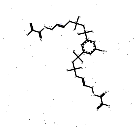 C=C(C)C(=O)OC/C=C/CC(C)(C)CC(C)(C)c1cc(C(C)(C)C)cc(C(C)(C)CC(C)(C)C/C=C/COC(=O)C(=C)C)c1